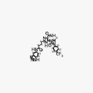 NC(=O)c1nc(CCCC(=O)Nc2ccc3[nH]nnc3c2)[nH]c1NC(=O)Nc1ccc(C(F)(F)F)cc1